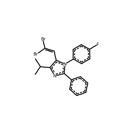 CC(C)c1nc(-c2ccccc2)n(-c2ccc(F)cc2)c1C=C(Br)Br